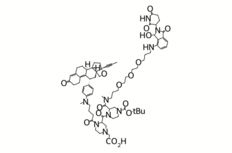 CC#C[C@]12CC[C@H]3[C@@H]4CCC5=CC(=O)CCC5=C4[C@@H](c4ccc(N(C)CCCC(=O)N5CCN(CC(=O)O)CC5C(=O)N5CCN(C(=O)OC(C)(C)C)CC5C(=O)N(C)CCCOCCOCCOCCCNc5cccc6c5C(O)N(C5CCC(=O)NC5=O)C6=O)cc4)C[C@@]31CO2